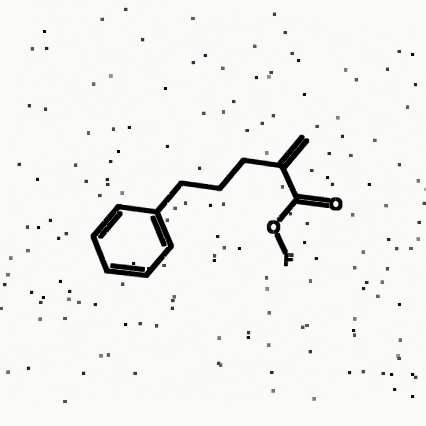 C=C(CCCc1ccccc1)C(=O)OF